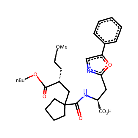 CCCCOC(=O)[C@H](CCOC)CC1(C(=O)N[C@@H](Cc2ncc(-c3ccccc3)o2)C(=O)O)CCCC1